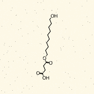 O=C(O)CCC(=O)OCCCCCCCCCCO